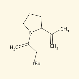 C=C(C)C1CCCN1C(=C)CC(C)(C)C